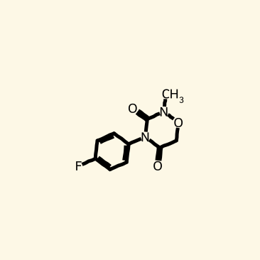 CN1OCC(=O)N(c2ccc(F)cc2)C1=O